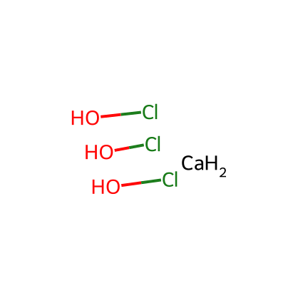 OCl.OCl.OCl.[CaH2]